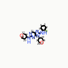 Fc1ccccc1Nc1nc2cnc(NC3CCOCC3)nc2n1C1CCOCC1